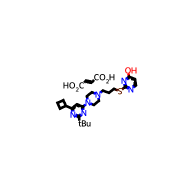 CC(C)(C)c1nc(C2CCC2)cc(N2CCN(CCCSc3nccc(O)n3)CC2)n1.O=C(O)/C=C/C(=O)O